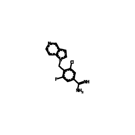 N=C(N)c1cc(F)c(Cn2ccc3cnccc32)c(Cl)c1